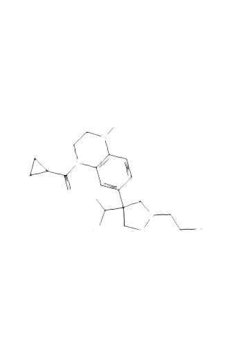 CCCC(CCC)C1(c2ccc3c(c2)N(C(=O)C2CC2)C[C@H](C)N3C(C)=O)CNN(CCO)C1